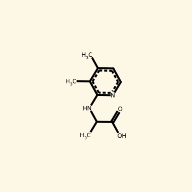 Cc1ccnc(NC(C)C(=O)O)c1C